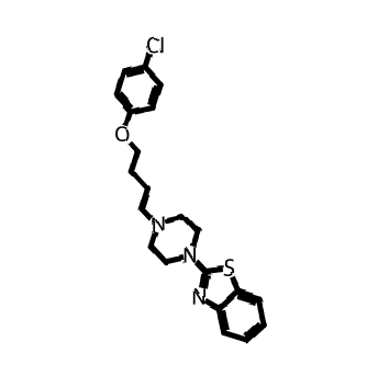 Clc1ccc(OCCCCN2CCN(c3nc4ccccc4s3)CC2)cc1